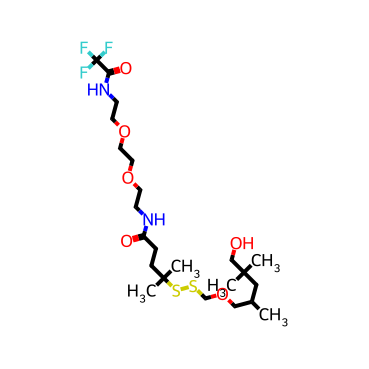 CC(COCSSC(C)(C)CCC(=O)NCCOCCOCCNC(=O)C(F)(F)F)CC(C)(C)CO